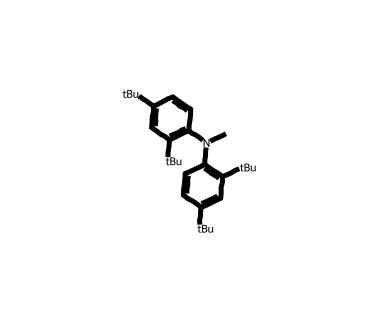 CN(c1ccc(C(C)(C)C)cc1C(C)(C)C)c1ccc(C(C)(C)C)cc1C(C)(C)C